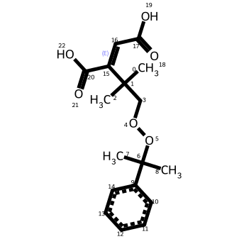 CC(C)(COOC(C)(C)c1ccccc1)/C(=C\C(=O)O)C(=O)O